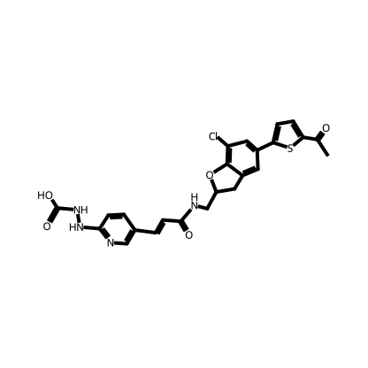 CC(=O)c1ccc(-c2cc(Cl)c3c(c2)CC(CNC(=O)C=Cc2ccc(NNC(=O)O)nc2)O3)s1